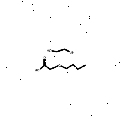 CCCCOCC(=O)O.OCCO